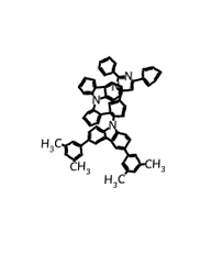 Cc1cc(C)cc(-c2ccc3c(c2)c2cc(-c4cc(C)cc(C)c4)ccc2n3-c2ccc(-c3cc(-c4ccccc4)nc(-c4ccccc4)n3)cc2-c2ccccc2-n2c3ccccc3c3ccccc32)c1